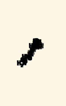 CC(C)(C)OC(=O)n1c(NC2CCN(c3ccc(C(=O)NCCC(=O)ON)cc3)CC2)nc2ccccc21